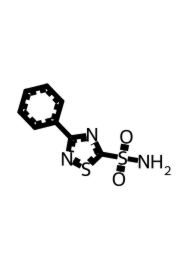 NS(=O)(=O)c1nc(-c2ccccc2)ns1